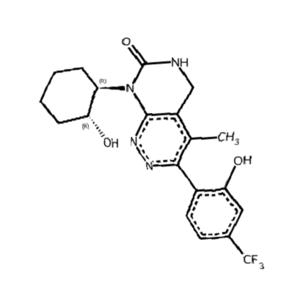 Cc1c(-c2ccc(C(F)(F)F)cc2O)nnc2c1CNC(=O)N2[C@@H]1CCCC[C@H]1O